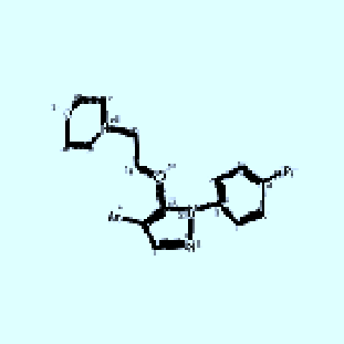 CC(=O)c1cnn(-c2ccc(C(C)C)cc2)c1OCCN1CCOCC1